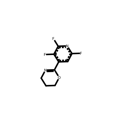 Fc1cc(C2=NCCCO2)c(F)c(F)n1